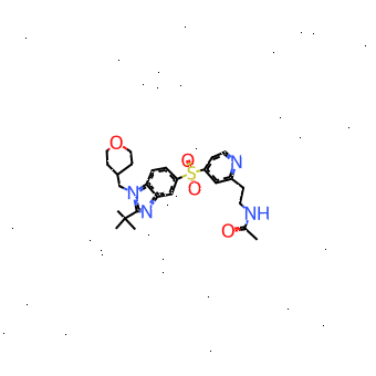 CC(=O)NCCc1cc(S(=O)(=O)c2ccc3c(c2)nc(C(C)(C)C)n3CC2CCOCC2)ccn1